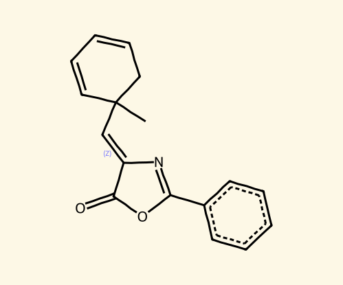 CC1(/C=C2\N=C(c3ccccc3)OC2=O)C=CC=CC1